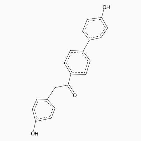 O=C(Cc1ccc(O)cc1)c1ccc(-c2ccc(O)cc2)cc1